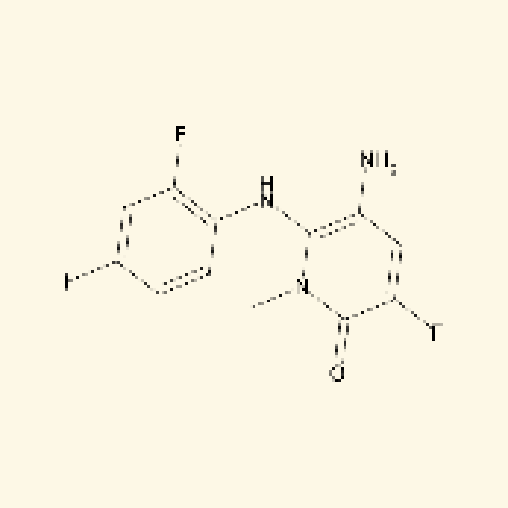 Cn1c(Nc2ccc(I)cc2F)c(N)cc(F)c1=O